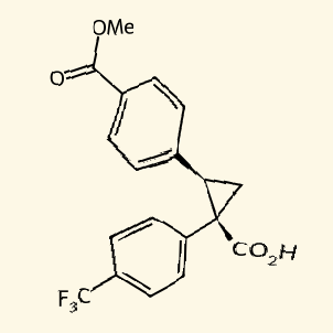 COC(=O)c1ccc([C@H]2C[C@]2(C(=O)O)c2ccc(C(F)(F)F)cc2)cc1